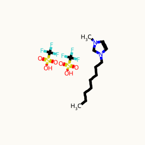 CCCCCCCCN1C=CN(C)C1.O=S(=O)(O)C(F)(F)F.O=S(=O)(O)C(F)(F)F